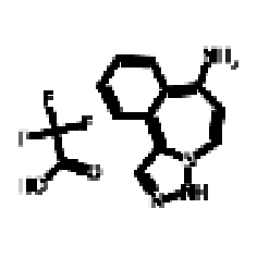 NC1=c2ccccc2=C2C=NNN2C=C1.O=C(O)C(F)(F)F